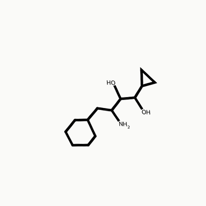 NC(CC1CCCCC1)C(O)C(O)C1CC1